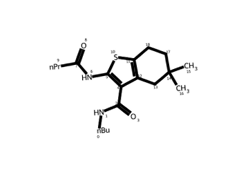 CCCCNC(=O)c1c(NC(=O)CCC)sc2c1CC(C)(C)CC2